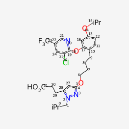 CC(C)Cn1nc(OCCCCc2ccc(OC(C)C)cc2Oc2ncc(C(F)(F)F)cc2Cl)cc1CCC(=O)O